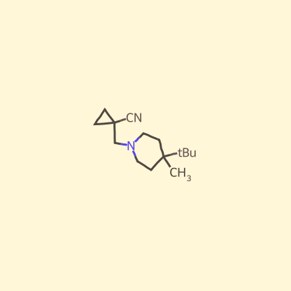 CC(C)(C)C1(C)CCN(CC2(C#N)CC2)CC1